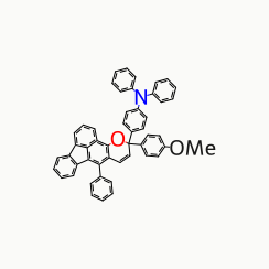 COc1ccc(C2(c3ccc(N(c4ccccc4)c4ccccc4)cc3)C=Cc3c(-c4ccccc4)c4c5c(cccc5c3O2)-c2ccccc2-4)cc1